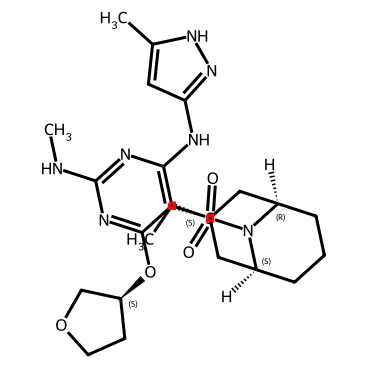 CCS(=O)(=O)N1[C@@H]2CCC[C@H]1C[C@H](c1c(Nc3cc(C)[nH]n3)nc(NC)nc1O[C@H]1CCOC1)C2